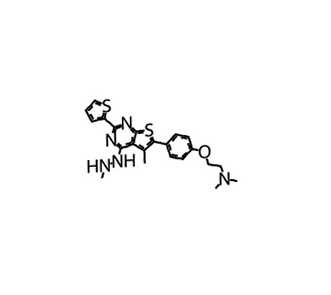 CNNc1nc(-c2cccs2)nc2sc(-c3ccc(OCCN(C)C)cc3)c(C)c12